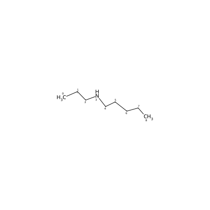 C[CH]CNCCCCC